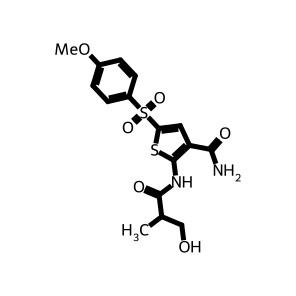 COc1ccc(S(=O)(=O)c2cc(C(N)=O)c(NC(=O)C(C)CO)s2)cc1